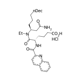 CCCCCCCCCCCCC[C@@H](CC(N)=O)N(CC)C(=O)[C@H](CCCC(=O)O)NC(=O)c1ccc2ccccc2n1.Cl